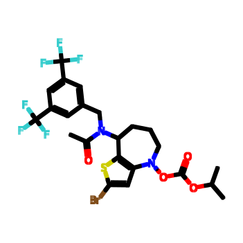 CC(=O)N(Cc1cc(C(F)(F)F)cc(C(F)(F)F)c1)C1CCCN(OC(=O)OC(C)C)c2cc(Br)sc21